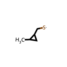 CC1CC1C[S]